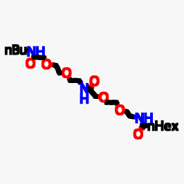 CCCCCCC(=O)NCCOCCOCC(=O)NCCOCCOCC(=O)NCCCC